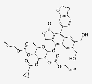 C=CCOC(=O)O[C@H]1[C@H](OC(=O)C2CC2)[C@@H](OC(=O)OCC=C)C(Oc2c3c(c(-c4ccc5c(c4)OCO5)c4cc(CO)c(CO)cc24)C(=O)OC3)O[C@@H]1C